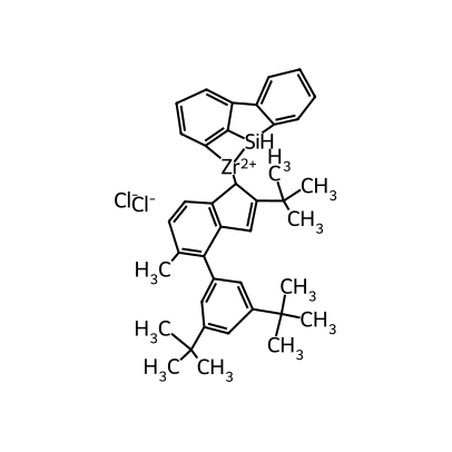 Cc1ccc2c(c1-c1cc(C(C)(C)C)cc(C(C)(C)C)c1)C=C(C(C)(C)C)[CH]2[Zr+2]1[c]2cccc3c2[SiH]1c1ccccc1-3.[Cl-].[Cl-]